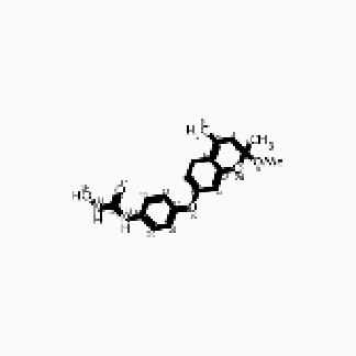 COC1(C)CC(C)=C2CC=C(Oc3ccc(NC(=O)NO)cc3)C=C2O1